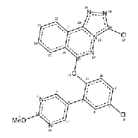 COc1ncc(-c2cc(Cl)ccc2Oc2nn3c(Cl)nnc3c3ccccc23)cn1